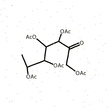 CC(=O)OCC(=O)C(OC(C)=O)C(OC(C)=O)C(OC(C)=O)C(C)OC(C)=O